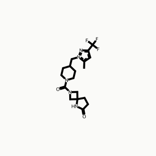 Cc1cc(C(F)(F)F)nn1CC1CCN(C(=O)N2CC3(CCC(=O)N3)C2)CC1